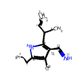 C=CC(C)c1[nH]c(CC(C)C)[c]([Ni])c1C=N